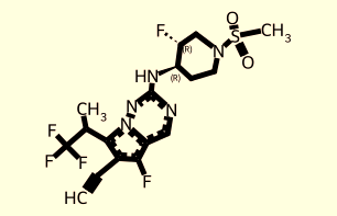 C#Cc1c(F)c2cnc(N[C@@H]3CCN(S(C)(=O)=O)C[C@H]3F)nn2c1C(C)C(F)(F)F